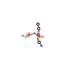 COC(=O)CCC/C=C\C[C@@H]1[C@@H](COCc2ccc(C#N)cc2)[C@H](O)C[C@@H]1OCc1ccc(-c2ccccc2)cc1